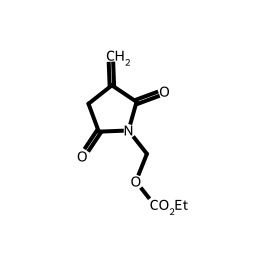 C=C1CC(=O)N(COC(=O)OCC)C1=O